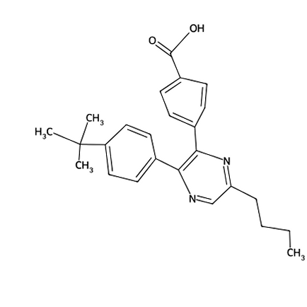 CCCCc1cnc(-c2ccc(C(C)(C)C)cc2)c(-c2ccc(C(=O)O)cc2)n1